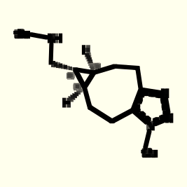 CC(C)(C)NC[C@H]1[C@@H]2CCc3c(nnn3C(C)(C)C)CC[C@@H]21